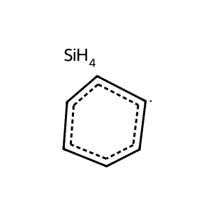 [SiH4].[c]1ccccc1